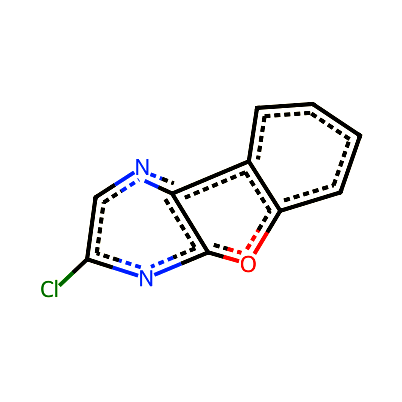 Clc1cnc2c(n1)oc1ccccc12